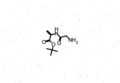 C=C(NC(=O)CN)C(=O)OC(C)(C)C